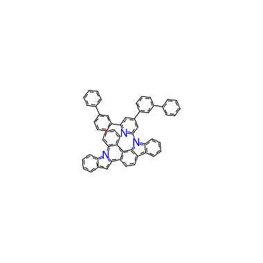 c1ccc(-c2cccc(-c3cc(-c4cccc(-c5ccccc5)c4)nc(-n4c5ccccc5c5ccc6c(c7ccccc7n7c8ccccc8cc67)c54)c3)c2)cc1